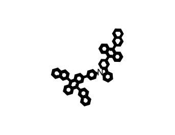 C1=CCC2C=CC(c3c4ccccc4c(C4=Cc5c(n(-c6ccc(-c7ccc8c(-c9ccc%10ccccc%10c9)c9ccccc9c(-c9ccc%10ccccc%10c9)c8c7)cc6)c6ccccc56)CC4)c4ccccc34)=CC2=C1